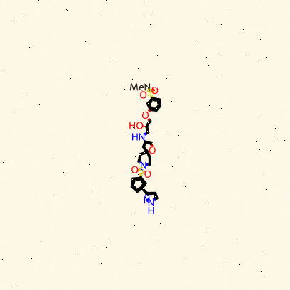 CNS(=O)(=O)c1cccc(OC[C@@H](O)CN[C@H]2COC3(CCN(S(=O)(=O)c4cccc(-c5cc[nH]n5)c4)CC3)C2)c1